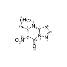 CCCCCCSc1nc2scnn2c(=O)c1[N+](=O)[O-]